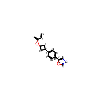 C=CC(=C)O[C@H]1C[C@@H](c2ccc(-c3cnco3)cc2)C1